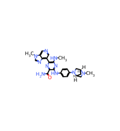 CNc1nc(Nc2ccc(N3C[C@@H]4C[C@H]3CN4C)cc2)c(C(N)=O)nc1-c1cncc2c1ncn2C